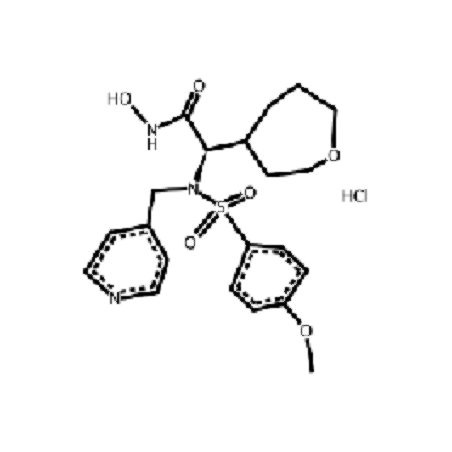 COc1ccc(S(=O)(=O)N(Cc2ccncc2)[C@@H](C(=O)NO)C2CCCOCC2)cc1.Cl